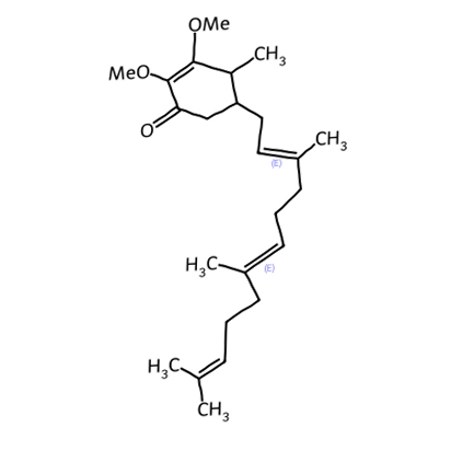 COC1=C(OC)C(C)C(C/C=C(\C)CC/C=C(\C)CCC=C(C)C)CC1=O